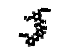 CNCc1cc(NC(=O)Nc2ccc(Oc3cc(NC)ncn3)cc2)cc(C(F)(F)F)c1